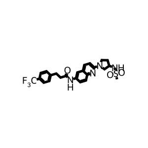 CS(=O)(=O)NC1CCN(c2ccc3cc(NC(=O)CCc4ccc(C(F)(F)F)cc4)ccc3n2)C1